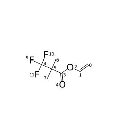 C=COC(=O)C(C)(C)C(F)(F)F